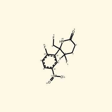 O=C1CCC(F)(F)C(CF)(c2cc([N+](=O)[O-])ccc2F)N1